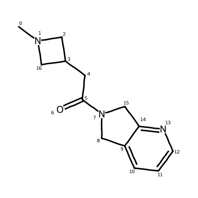 CN1CC(CC(=O)N2Cc3cccnc3C2)C1